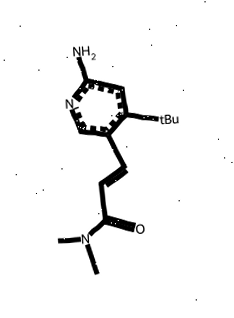 CN(C)C(=O)C=Cc1cnc(N)cc1C(C)(C)C